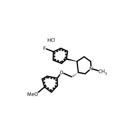 COc1ccc(OC[C@H]2CN(C)CC[C@@H]2c2ccc(F)cc2)cc1.Cl